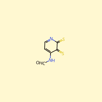 O=CNC1=CC=NC(=S)C1=S